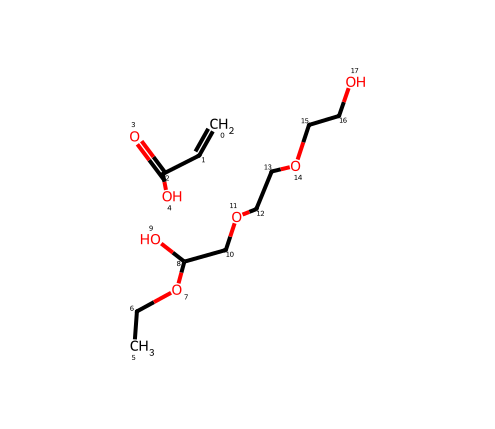 C=CC(=O)O.CCOC(O)COCCOCCO